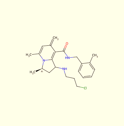 C=C1C=C(C)N2C(=C1C(=O)NCc1ccccc1C)C(NCCCCl)C[C@H]2C